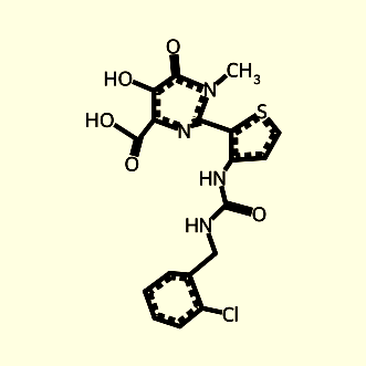 Cn1c(-c2sccc2NC(=O)NCc2ccccc2Cl)nc(C(=O)O)c(O)c1=O